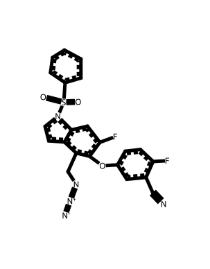 N#Cc1cc(Oc2c(F)cc3c(ccn3S(=O)(=O)c3ccccc3)c2CN=[N+]=[N-])ccc1F